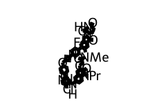 CNC(=O)COc1cc2cc(Nc3nc(N4CCC(OC5CC(N6CCC(c7c(C)cc8c(c7F)CN([C@@H]7CCC(=O)NC7=O)C8=O)CC6)C5)CC4)ncc3Cl)ccc2n(C(C)C)c1=O